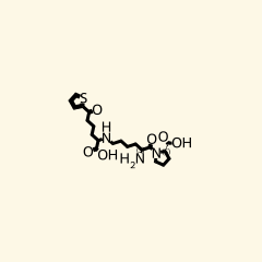 N[C@@H](CCCCNC(CCCC(=O)c1cccs1)C(=O)O)C(=O)N1CCC[C@H]1C(=O)O